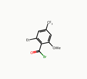 CCc1cc(C(F)(F)F)cc(OC)c1C(=O)Br